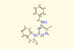 Cc1nnc(N2c3ccccc3CC2C)nc1NCc1ccccc1